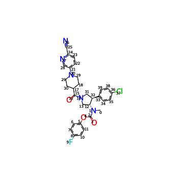 CN(C(=O)Oc1ccc(F)cc1)[C@@H]1CN(C(=O)C2CCN(c3ccc(C#N)nc3)CC2)C[C@H]1c1ccc(Cl)cc1